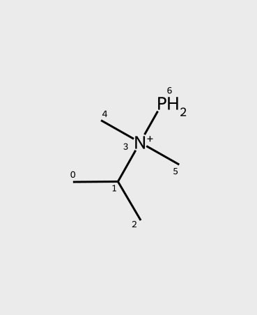 CC(C)[N+](C)(C)P